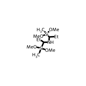 CCC(NC(CC)[Si](C)(OC)OC)[Si](C)(OC)OC